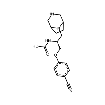 N#Cc1ccc(OC[C@H](CN2C3CCC2CNC3)NC(=O)O)cc1